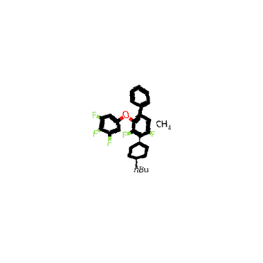 C.CCCC[C@H]1CC[C@H](c2c(F)cc(-c3ccccc3)c(Oc3cc(F)c(F)c(F)c3)c2F)CC1